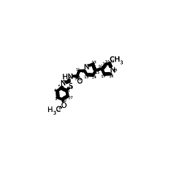 COc1ccc2nc(NC(=O)Cc3ccc(-c4ccnc(C)c4)cn3)sc2c1